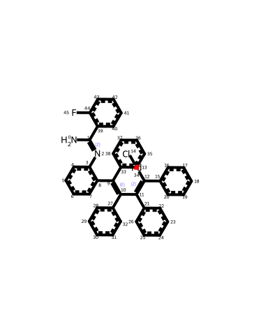 N/C(=N\c1ccccc1/C(=C(/C(=[C](\[Pd][Cl])c1ccccc1)c1ccccc1)c1ccccc1)c1ccccc1)c1ccccc1F